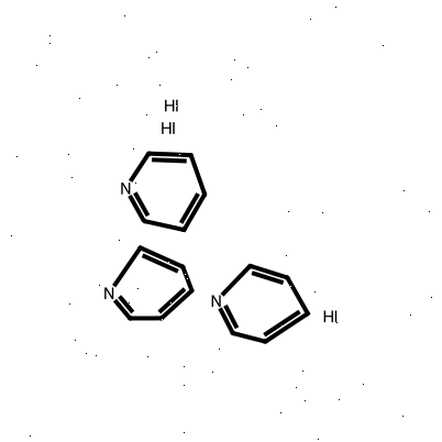 I.I.I.c1ccncc1.c1ccncc1.c1ccncc1